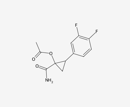 CC(=O)OC1(C(N)=O)CC1c1ccc(F)c(F)c1